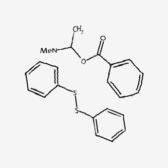 CNC(C)OC(=O)c1ccccc1.c1ccc(SSc2ccccc2)cc1